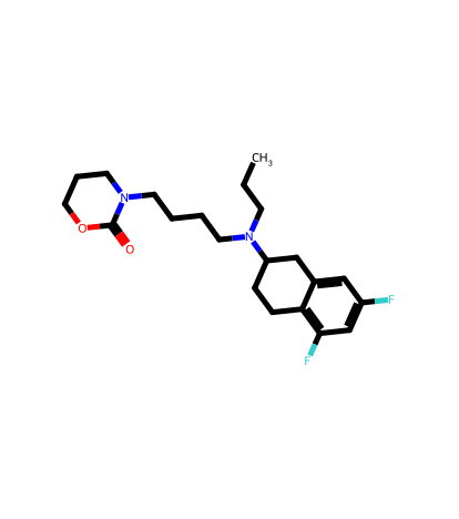 CCCN(CCCCN1CCCOC1=O)C1CCc2c(F)cc(F)cc2C1